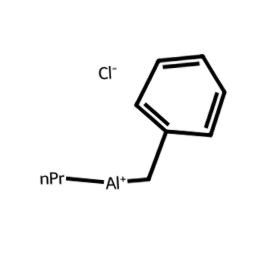 CC[CH2][Al+][CH2]c1ccccc1.[Cl-]